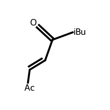 CCC(C)C(=O)/C=C/C(C)=O